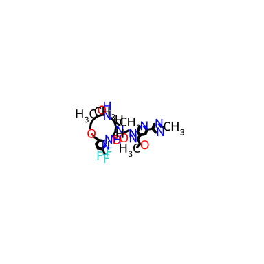 CC(=O)c1nn(CC(=O)N2[C@H](C)[C@H]3CNC(=O)C(C)(C)CCCOCc4ccc(C(F)(F)F)nc4NC(=O)[C@@H]2C3)c2cnc(-c3cnc(C)nc3)cc12